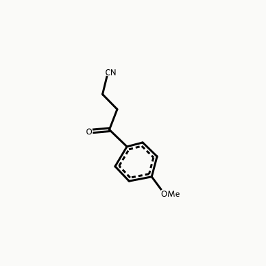 COc1ccc(C(=O)CCC#N)cc1